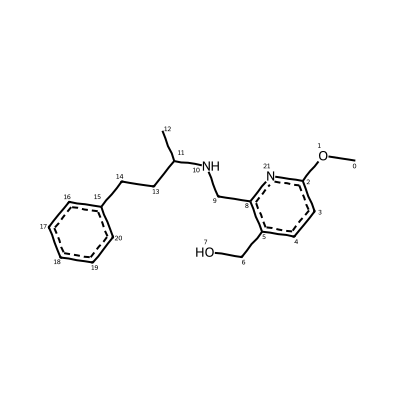 COc1ccc(CO)c(CNC(C)CCc2ccccc2)n1